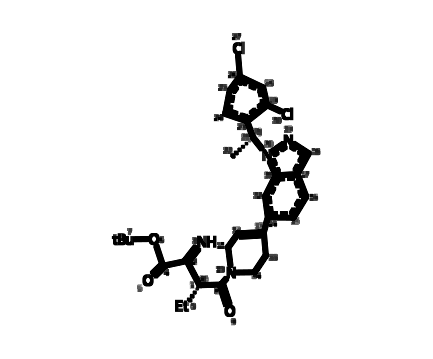 CC[C@H](C(=N)C(=O)OC(C)(C)C)C(=O)N1CC=C(c2ccc3cnn([C@H](C)c4ccc(Cl)cc4Cl)c3c2)CC1